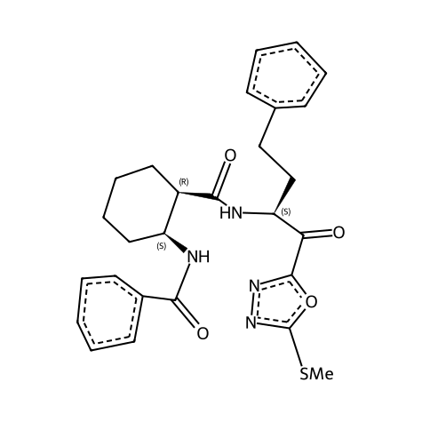 CSc1nnc(C(=O)[C@H](CCc2ccccc2)NC(=O)[C@@H]2CCCC[C@@H]2NC(=O)c2ccccc2)o1